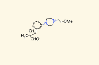 COCCN1CCN(c2cccc(CC(C)(C)[C]=O)c2)CC1